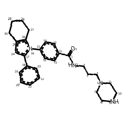 O=C(NCCCN1CCNCC1)c1ccc(-n2c(-c3ccccc3)cc3c2CCCC3)cc1